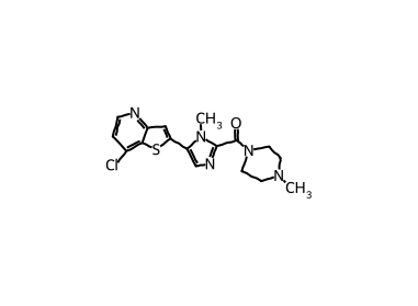 CN1CCN(C(=O)c2ncc(-c3cc4nccc(Cl)c4s3)n2C)CC1